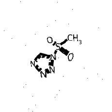 CS(=O)(=O)n1cnnn1